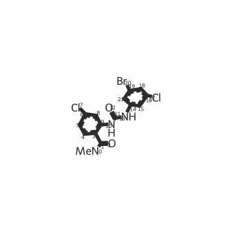 CNC(=O)c1ccc(Cl)cc1NC(=O)Nc1cc(Cl)cc(Br)c1